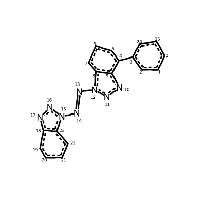 c1ccc(-c2cccc3c2nnn3N=Nn2nnc3ccccc32)cc1